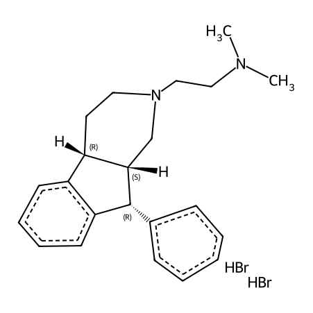 Br.Br.CN(C)CCN1CC[C@H]2c3ccccc3[C@@H](c3ccccc3)[C@H]2C1